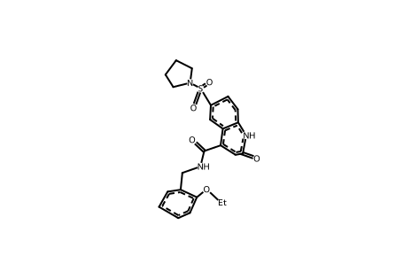 CCOc1ccccc1CNC(=O)c1cc(=O)[nH]c2ccc(S(=O)(=O)N3CCCC3)cc12